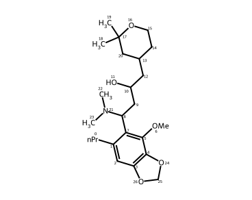 CCCc1cc2c(c(OC)c1C(CC(O)CC1CCOC(C)(C)C1)N(C)C)OCO2